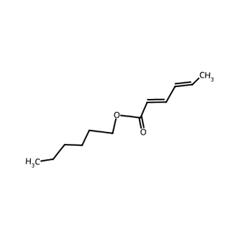 CC=CC=CC(=O)OCCCCCC